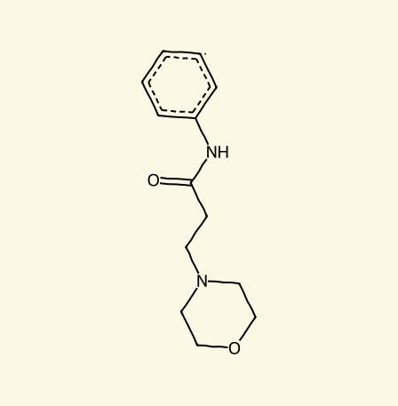 O=C(CCN1CCOCC1)Nc1c[c]ccc1